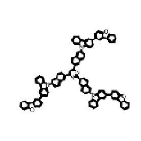 c1ccc2c(c1)oc1ccc(-c3ccc4c(c3)c3ccccc3n4-c3ccc4cc(-c5cc(-c6ccc7cc(-n8c9ccccc9c9cc(-c%10ccc%11oc%12ccccc%12c%11c%10)ccc98)ccc7c6)nc(-c6ccc7cc(-n8c9ccccc9c9cc(-c%10ccc%11oc%12ccccc%12c%11c%10)ccc98)ccc7c6)n5)ccc4c3)cc12